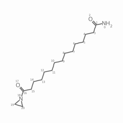 NC(=O)CCCCCCCCCCCCCC(=O)N1CC1